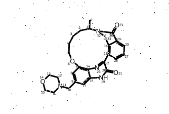 CC1CCCCOc2cc(CN3CCOCC3)cc3[nH]c(=O)c(nc23)-c2cccc3c(=O)n1sc23